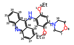 CCOc1cc(N2CCOCC2)c(OCC)cc1Nc1c2ccccc2nc2ccccc12